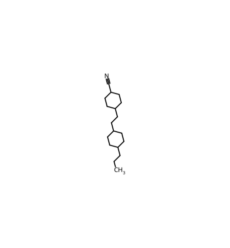 CCCC1CCC(CCC2CCC(C#N)CC2)CC1